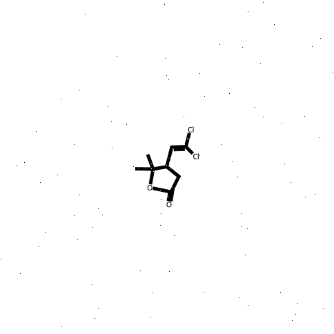 CC1(C)OC(=O)CC1C=C(Cl)Cl